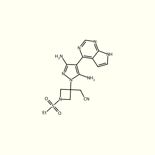 CCS(=O)(=O)N1CC(CC#N)(n2nc(N)c(-c3ncnc4[nH]ccc34)c2N)C1